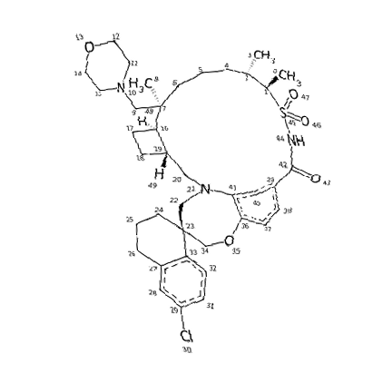 C[C@@H]1[C@@H](C)CCC[C@](C)(CN2CCOCC2)[C@@H]2CC[C@H]2CN2C[C@@]3(CCCc4cc(Cl)ccc43)COc3ccc(cc32)C(=O)NS1(=O)=O